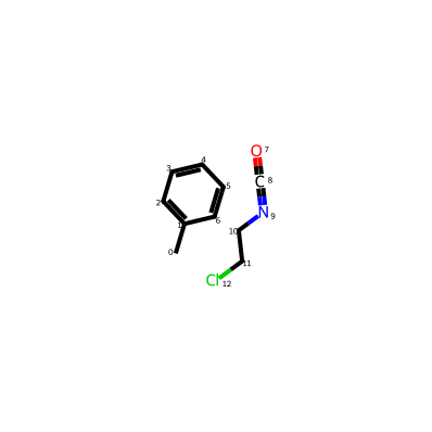 Cc1ccccc1.O=C=NCCCl